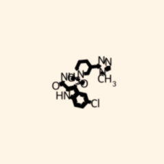 Cn1cnnc1C1CCCN(S(=O)(=O)c2c(C(N)=O)[nH]c3ccc(Cl)cc23)C1